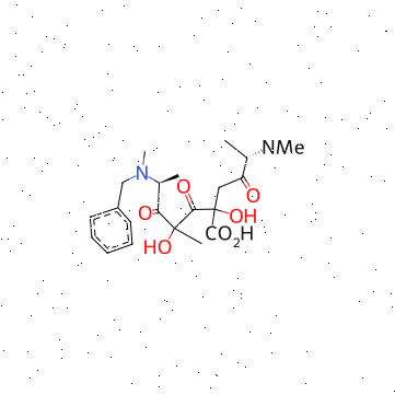 CN[C@@H](C)C(=O)CC(O)(C(=O)O)C(=O)C(C)(O)C(=O)[C@H](C)N(C)Cc1ccccc1